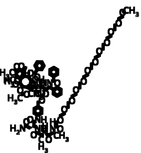 COCCOCCOCCOCCOCCOCCOCCOCCOCCOCCOCCOCC(=O)N[C@H](C)C(=O)N[C@H](C)C(=O)N[C@H](CC(N)=O)C(=O)Nc1ccc(COC(=O)O[C@@H](C(=O)OC2C[C@@]3(O)[C@@H](OC(=O)c4ccccc4)[C@H]4[C@](C)(C(=O)[C@H](OC(C)=O)C(=C2C)C3(C)C)[C@@H](O)CC2OC[C@]24OC(C)=O)[C@@H](NC(=O)c2ccccc2)c2ccccc2)cc1